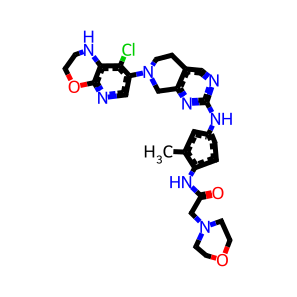 Cc1cc(Nc2ncc3c(n2)CN(c2cnc4c(c2Cl)NCCO4)CC3)ccc1NC(=O)CN1CCOCC1